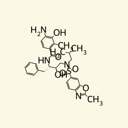 Cc1nc2ccc(S(=O)(=O)N(CC(C)C)C[C@@H](O)[C@H](Cc3ccccc3)NC(=O)c3ccc(N)c(O)c3C)cc2o1